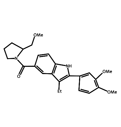 CCc1c(-c2ccc(OC)c(OC)c2)[nH]c2ccc(C(=O)N3CCCC3COC)cc12